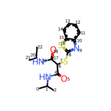 CC(C)NC(=O)C(Sc1nc2ccccc2s1)C(=O)NC(C)C